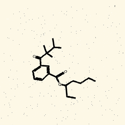 CCCCC(CC)OC(=O)c1cccc(C(=O)C(C)(C)C(C)C)c1